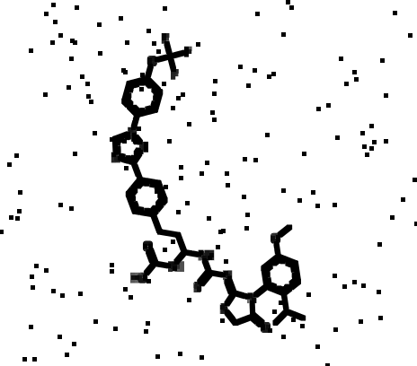 COc1ccc(C(C)C)c(N2C(=O)CS/C2=N\C(=S)NC(CCc2ccc(-c3ncn(-c4ccc(OC(F)(F)F)cc4)n3)cc2)NC(=O)O)c1